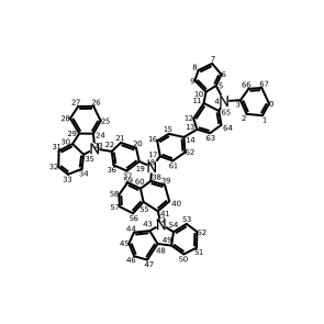 c1ccc(-n2c3ccccc3c3cc(-c4ccc(N(c5ccc(-n6c7ccccc7c7ccccc76)cc5)c5ccc(-n6c7ccccc7c7ccccc76)c6ccccc56)cc4)ccc32)cc1